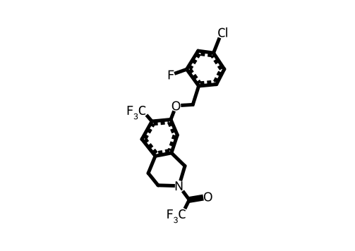 O=C(N1CCc2cc(C(F)(F)F)c(OCc3ccc(Cl)cc3F)cc2C1)C(F)(F)F